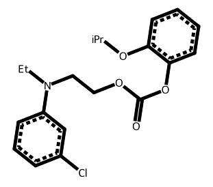 CCN(CCOC(=O)Oc1ccccc1OC(C)C)c1cccc(Cl)c1